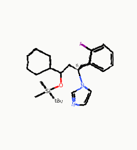 CC(C)(C)[Si](C)(C)OC(C[C@@H](c1ccccc1I)n1ccnc1)C1CCCCC1